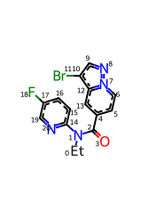 CCN(C(=O)c1ccn2ncc(Br)c2c1)c1ccc(F)cn1